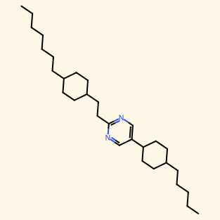 CCCCCCCC1CCC(CCc2ncc(C3CCC(CCCCC)CC3)cn2)CC1